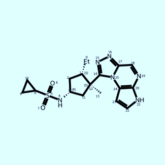 CC[C@H]1C[C@@H](NS(=O)(=O)C2CC2)C[C@]1(C)c1nnc2cnc3[nH]ccc3n12